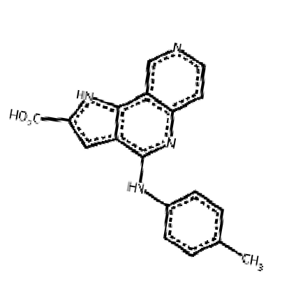 Cc1ccc(Nc2nc3ccncc3c3[nH]c(C(=O)O)cc23)cc1